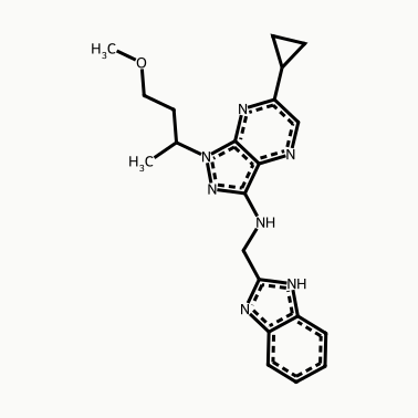 COCCC(C)n1nc(NCc2nc3ccccc3[nH]2)c2ncc(C3CC3)nc21